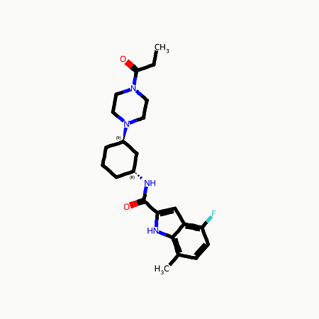 CCC(=O)N1CCN([C@@H]2CCC[C@@H](NC(=O)c3cc4c(F)ccc(C)c4[nH]3)C2)CC1